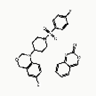 O=S(=O)(c1ccc(F)cc1)N1CCC(N2COCc3cc(Cl)ccc32)CC1.O=c1nc2ccccc2co1